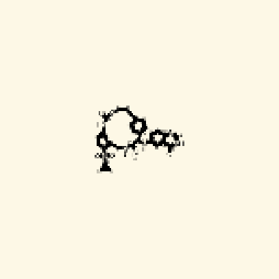 CN1Cc2cc(ccc2S(=O)(=O)C2CC2)NC(=O)OCCc2ccc(cc2)C(Nc2ccc3nc[nH]c(=O)c3c2)C1=O